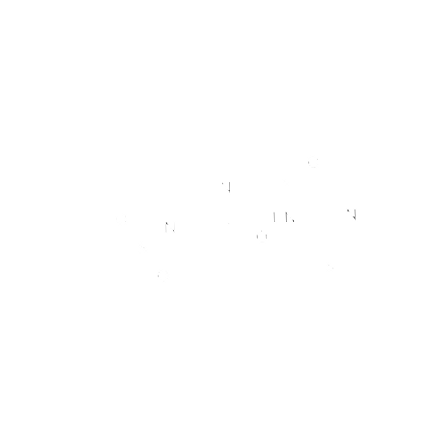 O=C(Nc1nccs1)C(CC1CCCCC1)N1CCN(S(=O)(=O)Cc2ccccc2)CC1=O